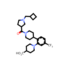 O=C(O)C1CCN(c2cc(C(F)(F)F)ccc2C2CCN(C(=O)C3CCN(CC4CCC4)C3)CC2)CC1